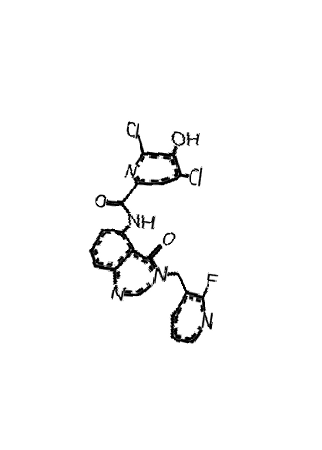 O=C(Nc1cccc2ncn(Cc3cccnc3F)c(=O)c12)c1cc(Cl)c(O)c(Cl)n1